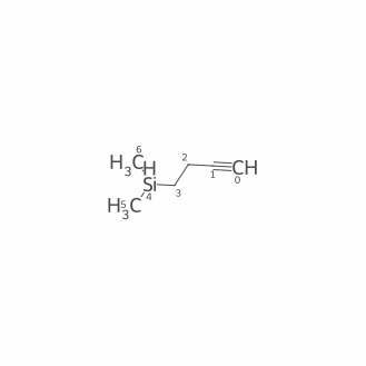 C#CCC[SiH](C)C